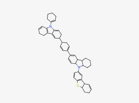 C1=Cc2c(c3c(n2C2=CCCCC2)=CCC(C2C=CC(C4=CC5C6CCCCC6N(c6ccc7c(c6)C6C=CCCC6S7)C5C=C4)=CC2)C=3)CC1